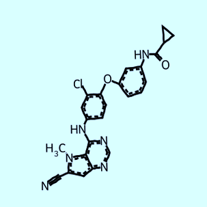 Cn1c(C#N)cc2ncnc(Nc3ccc(Oc4cccc(NC(=O)C5CC5)c4)c(Cl)c3)c21